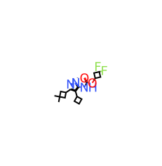 Cn1nc(C2CC(C)(C)C2)c(C2CCC2)c1NC(=O)OC1CC(F)(F)C1